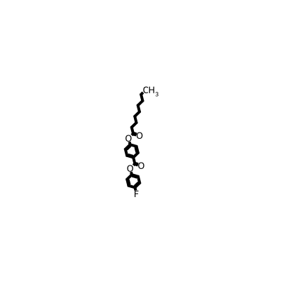 CCCCCCCCC(=O)Oc1ccc(C(=O)Oc2ccc(F)cc2)cc1